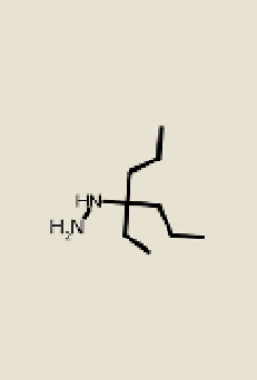 CCCC(CC)(CCC)NN